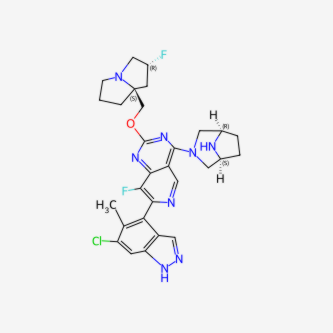 Cc1c(Cl)cc2[nH]ncc2c1-c1ncc2c(N3C[C@H]4CC[C@@H](C3)N4)nc(OC[C@@]34CCCN3C[C@H](F)C4)nc2c1F